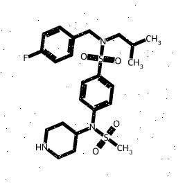 CC(C)CN(Cc1ccc(F)cc1)S(=O)(=O)c1ccc(N(C2CCNCC2)S(C)(=O)=O)cc1